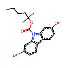 CCCCC(C)(C)OC(=O)n1c2cc(Br)ccc2c2ccc(Br)cc21